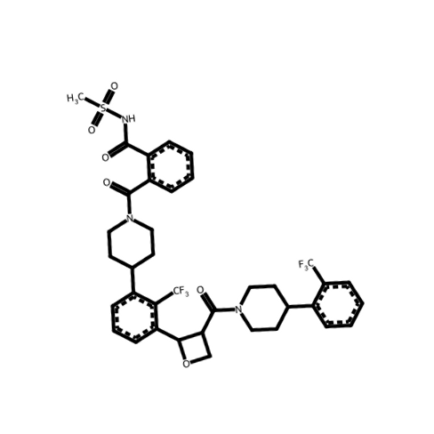 CS(=O)(=O)NC(=O)c1ccccc1C(=O)N1CCC(c2cccc(C3OCC3C(=O)N3CCC(c4ccccc4C(F)(F)F)CC3)c2C(F)(F)F)CC1